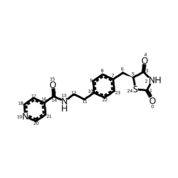 O=C1NC(=O)[C@H](Cc2ccc(CCNC(=O)c3ccncc3)cc2)S1